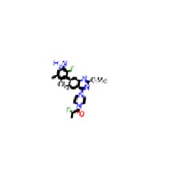 C=C(F)C(=O)N1CCN(c2nc(OC)nc3c2C[C@@H](C)C(c2c(F)c(N)cc(C)c2C(F)(F)F)C3)CC1